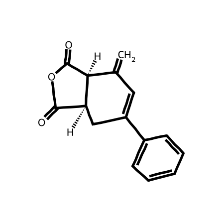 C=C1C=C(c2ccccc2)C[C@H]2C(=O)OC(=O)[C@@H]12